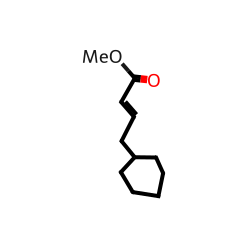 COC(=O)C=CCC1CCCCC1